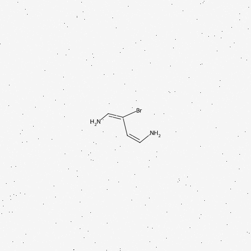 N/C=C\C(Br)=C/N